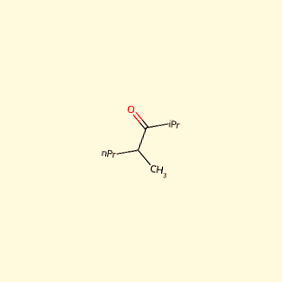 CCCC(C)C(=O)C(C)C